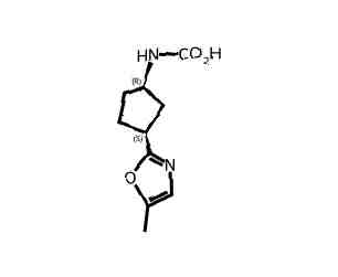 Cc1cnc([C@H]2CC[C@@H](NC(=O)O)C2)o1